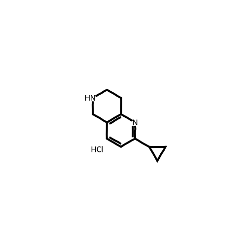 Cl.c1cc2c(nc1C1CC1)CCNC2